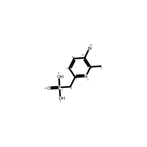 Cc1nc(CP(=O)(O)O)ccc1Br